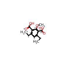 CCc1cc(CC)c(C(=O)O)c(OC)c1C(=O)O